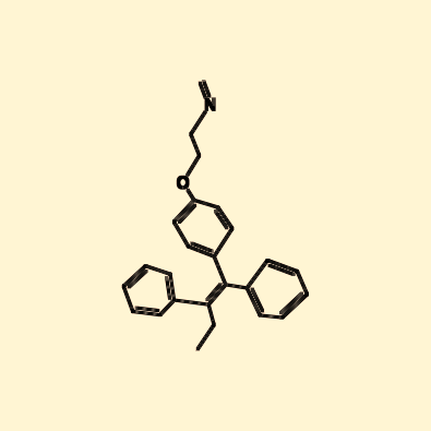 C=NCCOc1ccc(/C(=C(/CC)c2ccccc2)c2ccccc2)cc1